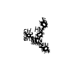 COc1ccc(-c2nnc3nc(NCc4ccc(F)cc4)nc(N4CCC(NCc5ccc(F)cc5)CC4)c3n2)cc1OC